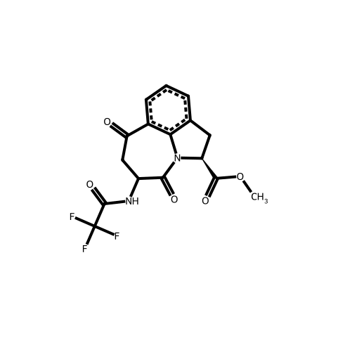 COC(=O)[C@@H]1Cc2cccc3c2N1C(=O)C(NC(=O)C(F)(F)F)CC3=O